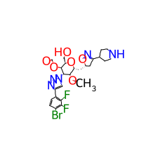 CO[C@@H]1[C@H](n2cc(-c3ccc(Br)c(F)c3F)nn2)[C@@H](OC=O)[C@@H](CO)O[C@@H]1C[C@H]1CC(C2CCNCC2)=NO1